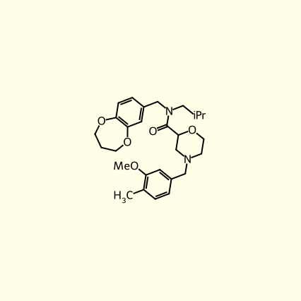 COc1cc(CN2CCOC(C(=O)N(Cc3ccc4c(c3)OCCCO4)CC(C)C)C2)ccc1C